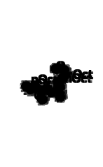 CCCCCCCCC1(CCCCCCCC)c2cc(N(c3ccc4c(c3)C(C)(C)c3cc(-c5ccc6c(c5)C(C)(C)c5ccccc5-6)c5oc6ccccc6c5c3-4)c3ccccc3C)ccc2-c2cc3c(cc21)-c1c(ccc2oc4ccccc4c12)C3(CCCCCCCC)CCCCCCCC